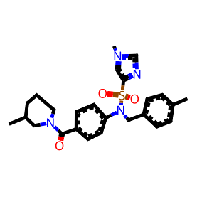 Cc1ccc(CN(c2ccc(C(=O)N3CCCC(C)C3)cc2)S(=O)(=O)c2cn(C)cn2)cc1